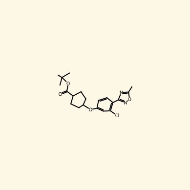 Cc1nc(-c2ccc(OC3CCC(C(=O)OC(C)(C)C)CC3)cc2Cl)no1